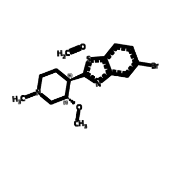 C=O.CO[C@@H]1CN(C)CC[C@H]1c1nc2cc(Br)ccc2s1